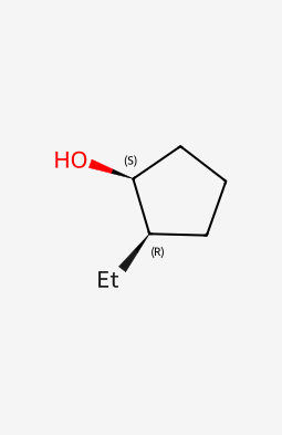 CC[C@@H]1CCC[C@@H]1O